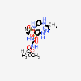 Cc1cnc(Nc2cccc(S(=O)(=O)NC(=O)CNC(=O)OC(C)(C)C)c2)nc1Nc1cccc(CNS(=O)(=O)C2CC2)c1.[NaH]